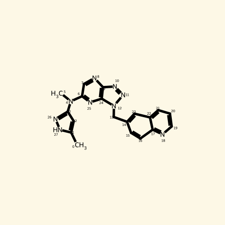 Cc1cc(N(C)c2cnc3nnn(Cc4ccc5ncccc5c4)c3n2)n[nH]1